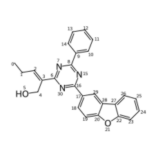 CC/C=C(\CO)c1nc(-c2ccccc2)nc(-c2ccc3oc4ccccc4c3c2)n1